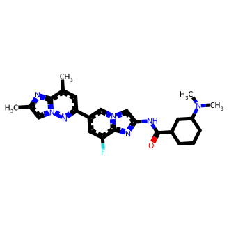 Cc1cn2nc(-c3cc(F)c4nc(NC(=O)C5CCCC(N(C)C)C5)cn4c3)cc(C)c2n1